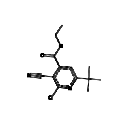 CCOC(=O)c1cc(C(C)(C)C)nc(Cl)c1C#N